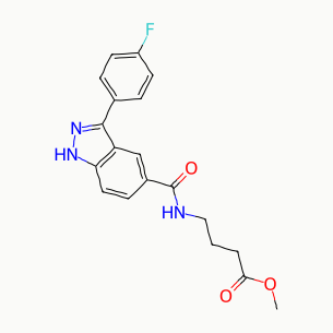 COC(=O)CCCNC(=O)c1ccc2[nH]nc(-c3ccc(F)cc3)c2c1